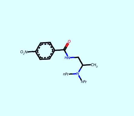 CCCN(CCC)C(C)CNC(=O)c1ccc([N+](=O)[O-])cc1